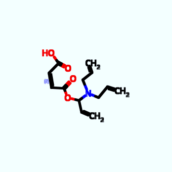 C=CCN(CC=C)C(C=C)OC(=O)/C=C\C(=O)O